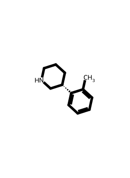 Cc1ccccc1[C@H]1CCCNC1